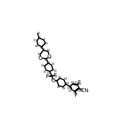 CC1CCC(C2COC(C3CCC(C(F)(F)OC4CCC(c5cc(F)c(C#N)c(F)c5)CC4)CC3)OC2)CC1